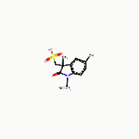 Cc1ccc2c(c1)C(C)(CS(=O)(=O)O)C(=O)N2C.[NaH]